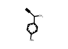 [C]#CC(C)c1ccc(CCCC)cc1